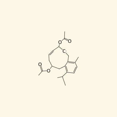 CC(=O)OC1[CH]Cc2c(C)ccc(C(C)C)c2CC(OC(C)=O)C/C=C\1